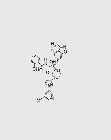 N#Cc1cc(-n2ccc(N3CCO[C@H](C(O)(CNC(=O)c4ccccc4O)Cc4cc(F)c5c(N)noc5c4)C3=O)n2)cnn1